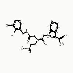 NC(=O)CCN(CC(=O)NCc1cccc(Cl)c1F)C(=O)Cn1nc(C(N)=O)c2ccccc21